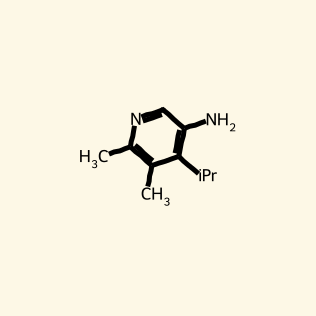 Cc1ncc(N)c(C(C)C)c1C